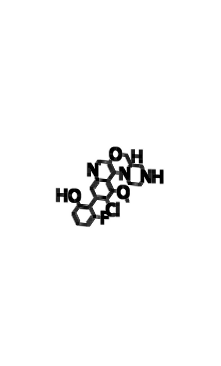 COc1c(Cl)c(-c2c(O)cccc2F)cc2ncc3c(c12)N1CCNC[C@@H]1CO3